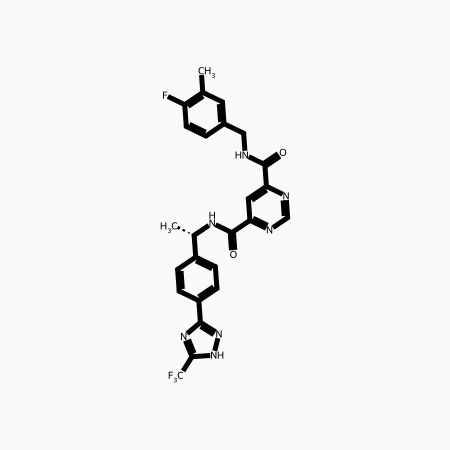 Cc1cc(CNC(=O)c2cc(C(=O)N[C@@H](C)c3ccc(-c4n[nH]c(C(F)(F)F)n4)cc3)ncn2)ccc1F